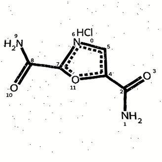 Cl.NC(=O)c1cnc(C(N)=O)o1